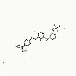 OB(O)c1ccc(O[C@@H]2CCc3c(Oc4cccc(OC(F)(F)F)c4)cccc32)cc1